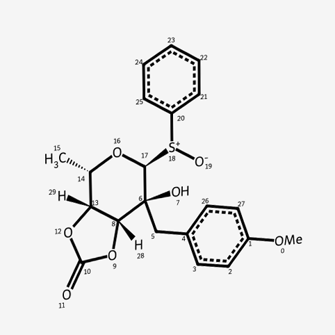 COc1ccc(C[C@]2(O)[C@@H]3OC(=O)O[C@@H]3[C@H](C)O[C@H]2[S+]([O-])c2ccccc2)cc1